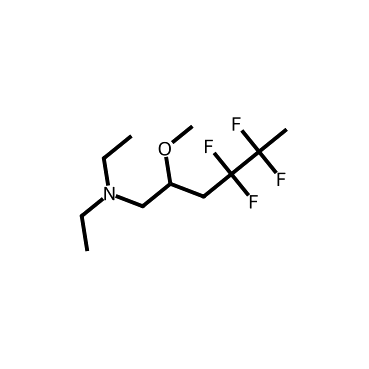 CCN(CC)CC(CC(F)(F)C(C)(F)F)OC